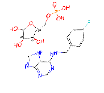 Fc1ccc(CNc2ncnc3nc[nH]c23)cc1.O=P(O)(O)OC[C@H]1OC(O)[C@H](O)[C@@H]1O